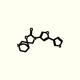 O=C1OC2(CN3CCC2CC3)CN1c1coc(-c2ccsc2)c1